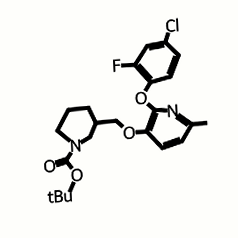 Cc1ccc(OCC2CCCN(C(=O)OC(C)(C)C)C2)c(Oc2ccc(Cl)cc2F)n1